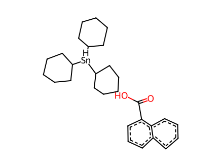 C1CC[CH]([SnH]([CH]2CCCCC2)[CH]2CCCCC2)CC1.O=C(O)c1cccc2ccccc12